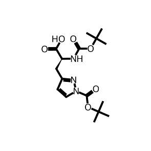 CC(C)(C)OC(=O)N[C@@H](Cc1ccn(C(=O)OC(C)(C)C)n1)C(=O)O